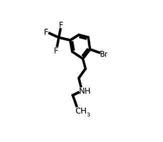 CCNCCc1cc(C(F)(F)F)ccc1Br